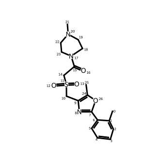 Cc1ccccc1-c1nc(CS(=O)(=O)CC(=O)N2CCN(C)CC2)c(C)o1